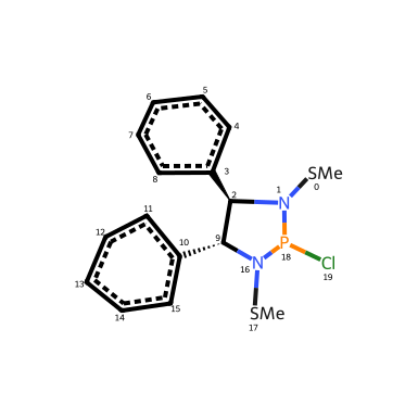 CSN1[C@H](c2ccccc2)[C@@H](c2ccccc2)N(SC)P1Cl